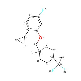 CC1(COc2cc(F)ccc2C2CC2)CCC2(CC1)CC2(F)F